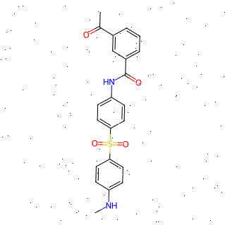 CNc1ccc(S(=O)(=O)c2ccc(NC(=O)c3cccc(C(C)=O)c3)cc2)cc1